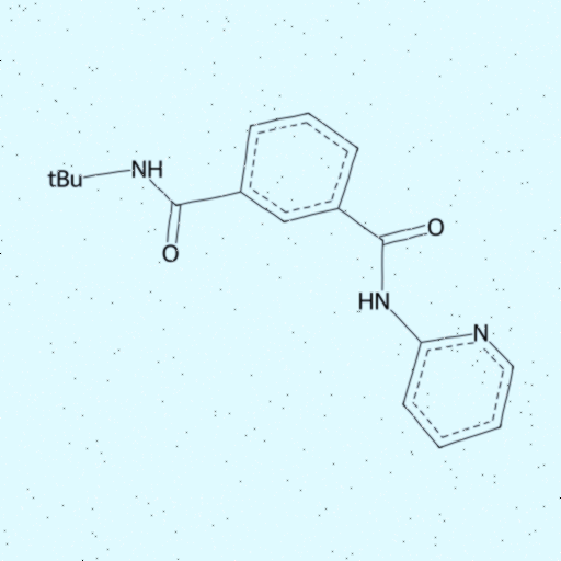 CC(C)(C)NC(=O)c1cccc(C(=O)Nc2ccccn2)c1